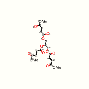 COC(=O)/C=C/C(=O)OCC(COC(=O)/C=C/C(=O)OC)OC(=O)/C=C/C(=O)OC